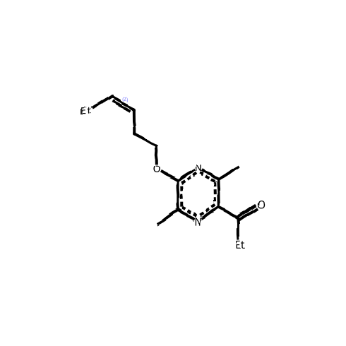 CC/C=C\CCOc1nc(C)c(C(=O)CC)nc1C